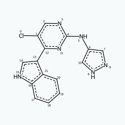 Clc1cnc(Nc2cn[nH]c2)nc1-c1c[nH]c2ccccc12